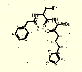 CCCCC(NC(=O)C(CC(C)C)NC(=S)Cc1ccccc1)C(=O)CSCc1ccco1